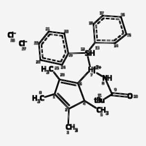 CC1=C(C)C(C)[C]([Hf+2]([NH]C(=O)C(C)(C)C)[SiH](c2ccccc2)c2ccccc2)=C1C.[Cl-].[Cl-]